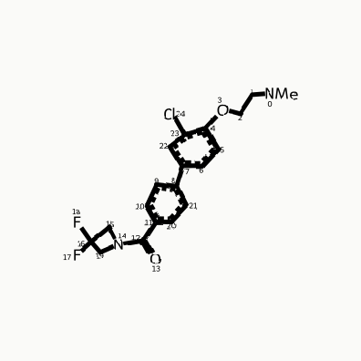 CNCCOc1ccc(-c2ccc(C(=O)N3CC(F)(F)C3)cc2)cc1Cl